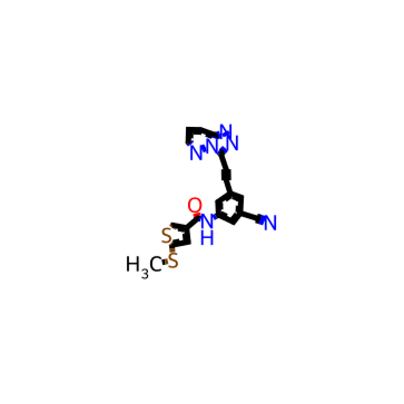 CSc1cc(C(=O)Nc2cc(C#N)cc(C#Cc3nnc4cccnn34)c2)cs1